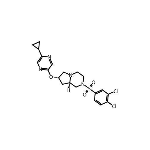 O=S(=O)(c1ccc(Cl)c(Cl)c1)N1CCN2C[C@@H](Oc3cnc(C4CC4)cn3)C[C@H]2C1